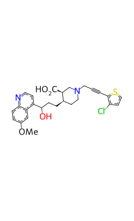 COc1ccc2nccc(C(O)CC[C@@H]3CCN(CC#Cc4sccc4Cl)C[C@@H]3C(=O)O)c2c1